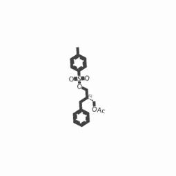 CC(=O)OC[C@@H](COS(=O)(=O)c1ccc(C)cc1)Cc1ccccc1